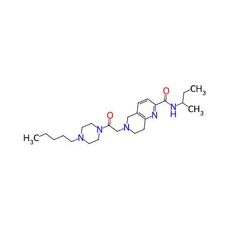 CCCCCN1CCN(C(=O)CN2CCc3nc(C(=O)NC(C)CC)ccc3C2)CC1